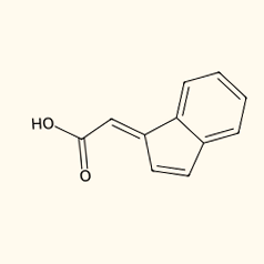 O=C(O)C=C1C=Cc2ccccc21